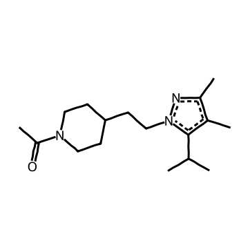 CC(=O)N1CCC(CCn2nc(C)c(C)c2C(C)C)CC1